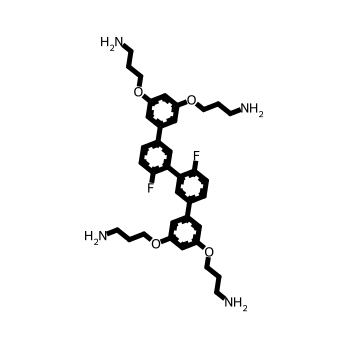 NCCCOc1cc(OCCCN)cc(-c2ccc(F)c(-c3cc(-c4cc(OCCCN)cc(OCCCN)c4)ccc3F)c2)c1